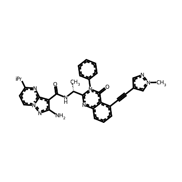 CC(C)c1ccn2nc(N)c(C(=O)N[C@H](C)c3nc4cccc(C#Cc5cnn(C)c5)c4c(=O)n3-c3ccccc3)c2n1